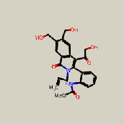 C=CCn1c(-c2ccccc2NC(=O)OC)c(C(=O)CO)c2cc(CO)c(CO)cc2c1=O